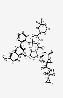 C=CC1C[C@]1(NC(=O)[C@@H]1C[C@@H](Oc2cc(-c3ccccn3)nc3cc(OC)ccc23)CN1C(=O)[C@@H](CC(=O)N1CCCC(F)(F)C1)C(C)(C)C)C(=O)NS(=O)(=O)C1CC1